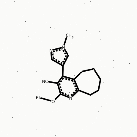 CCOc1nc2c(c(-c3cnn(C)c3)c1C#N)CCCCC2